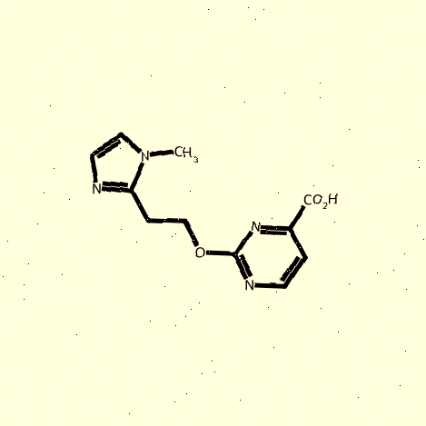 Cn1ccnc1CCOc1nccc(C(=O)O)n1